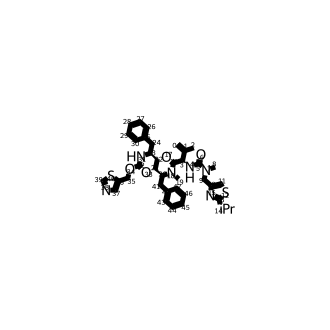 C=C(C)[C@H](NC(=O)N(C)Cc1csc(C(C)C)n1)C(=O)N(C)[C@H](CC[C@H](Cc1ccccc1)NC(=O)OCc1cncs1)Cc1ccccc1